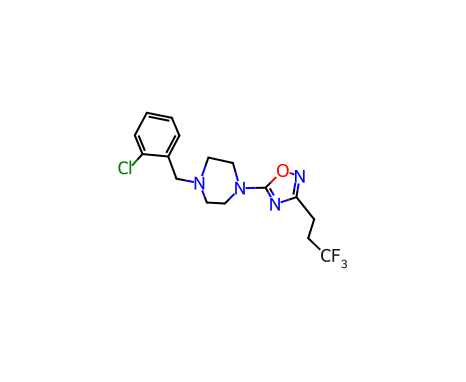 FC(F)(F)CCc1noc(N2CCN(Cc3ccccc3Cl)CC2)n1